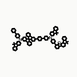 CC1(C)c2ccccc2-c2ccc(N(c3ccc(-c4ccc(-c5ccc6c(c5)-c5ccccc5C65c6ccccc6-c6cc(N(c7ccc(-c8ccccc8)cc7)c7ccc8c(c7)C(C)(C)c7ccccc7-8)ccc65)cc4)cc3)c3ccc(-c4cccc5c4oc4c6c(ccc45)C(C)(C)c4ccccc4-6)cc3)cc21